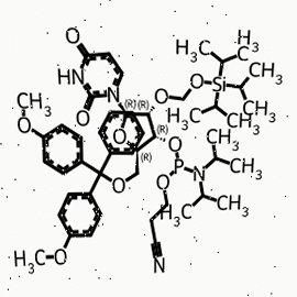 COc1ccc(C(OC[C@H]2O[C@@H](n3ccc(=O)[nH]c3=O)[C@H](OCO[Si](C(C)C)(C(C)C)C(C)C)[C@@H]2OP(OCCC#N)N(C(C)C)C(C)C)(c2ccccc2)c2ccc(OC)cc2)cc1